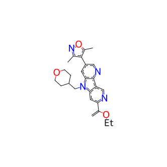 C=C(OCC)c1cc2c(cn1)c1ncc(-c3c(C)noc3C)cc1n2CC1CCOCC1